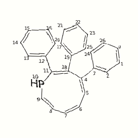 c1ccc(-c2ccccc[pH]c(-c3ccccc3)c2-c2ccccc2)cc1